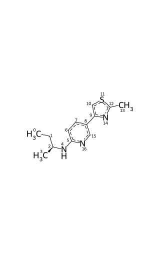 CC[C@H](C)Nc1ccc(-c2csc(C)n2)cn1